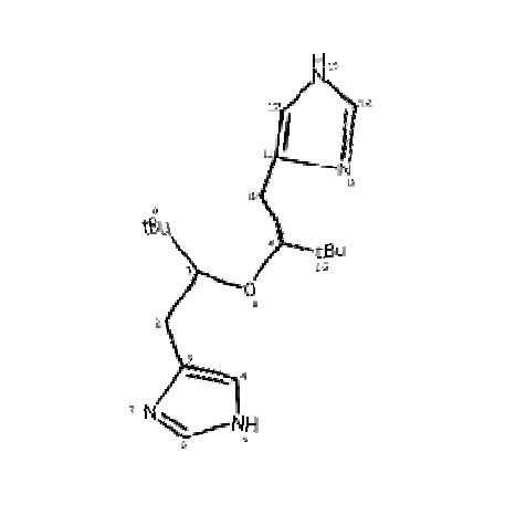 CC(C)(C)C(Cc1c[nH]cn1)OC(Cc1c[nH]cn1)C(C)(C)C